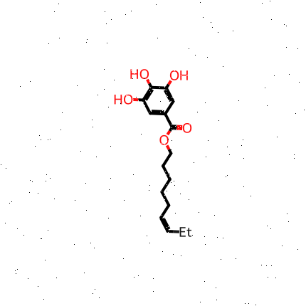 CC/C=C\CCCCCOC(=O)c1cc(O)c(O)c(O)c1